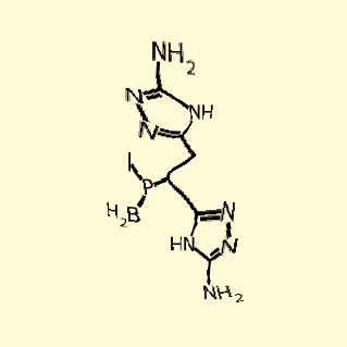 BP(I)C(Cc1nnc(N)[nH]1)c1nnc(N)[nH]1